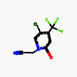 N#CCn1cc(Cl)c(C(F)(F)F)cc1=O